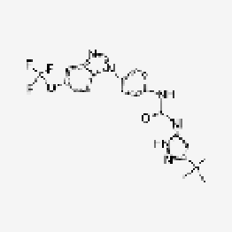 CC(C)(C)c1cc(NC(=O)Nc2ccc(-n3cnc4cc(OC(F)(F)F)ccc43)cc2)[nH]n1